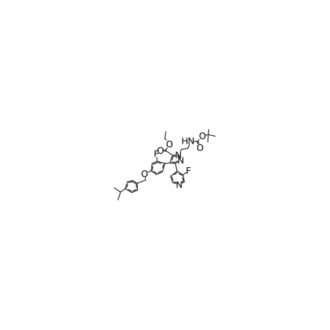 CCOC(=O)c1c(-c2ccc(OCc3ccc(C(C)C)cc3)cc2F)c(-c2ccncc2F)nn1CCNC(=O)OC(C)(C)C